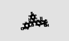 CC(Nc1nccc(N(C(=O)Nc2ccc(Cl)cc2)c2ccc(F)cc2)n1)C(C)(C)O